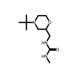 CNC(=O)NCC1CN(C(C)(C)C)CCO1